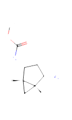 CC(C)(C)OC(=O)N[C@@H]1C[C@H](N)[C@@H]2C[C@@H]21